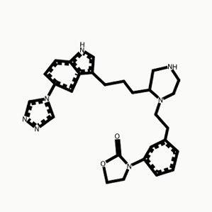 O=C1OCCN1c1cccc(CCN2CCNCC2CCCc2c[nH]c3ccc(-n4cnnc4)cc23)c1